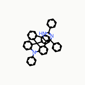 c1ccc(C2=NC(c3ccccc3)=C(c3cccc4c3C3(c5ccccc5-c5ccccc53)c3ccccc3N4c3ccccc3)CN2)cc1